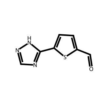 O=Cc1ccc(-c2ncn[nH]2)s1